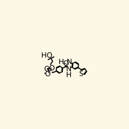 COP(=O)(Cc1ccc(C(=O)Nc2cc(-c3cccs3)ccc2N)cc1)OCCC(C)(C)O